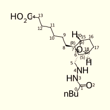 CCCCC(=O)NNC[C@@H]1[C@@H](CCCCCCC(=O)O)[C@@H]2CC[C@@H]1O2